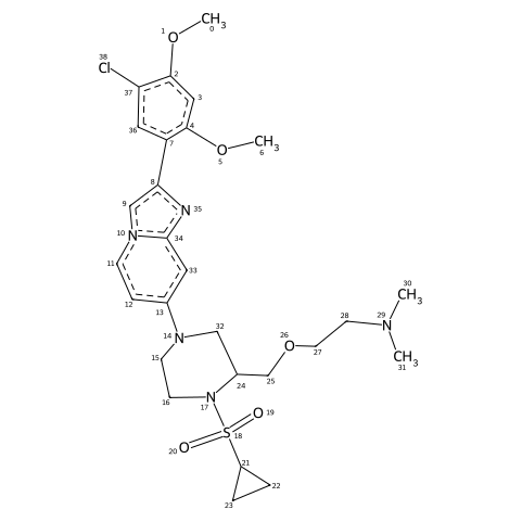 COc1cc(OC)c(-c2cn3ccc(N4CCN(S(=O)(=O)C5CC5)C(COCCN(C)C)C4)cc3n2)cc1Cl